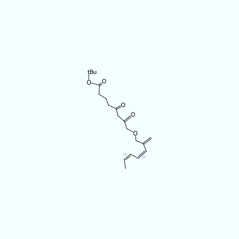 C=C(/C=C\C=C/C)COCC(=O)CC(=O)CCCC(=O)OC(C)(C)C